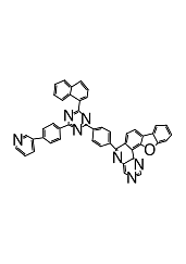 c1cncc(-c2ccc(-c3nc(-c4ccc(-c5nc6cncnc6c6c5ccc5c7ccccc7oc56)cc4)nc(-c4cccc5ccccc45)n3)cc2)c1